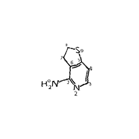 Nc1nccc2c1CCS2